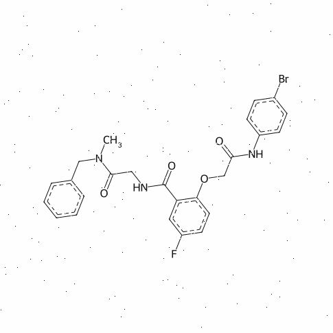 CN(Cc1ccccc1)C(=O)CNC(=O)c1cc(F)ccc1OCC(=O)Nc1ccc(Br)cc1